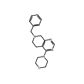 c1ccc(CN2CCc3c(ncnc3N3CCOCC3)C2)cc1